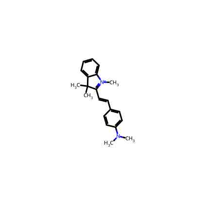 CN(C)c1ccc(/C=C/C2=[N+](C)c3ccccc3C2(C)C)cc1